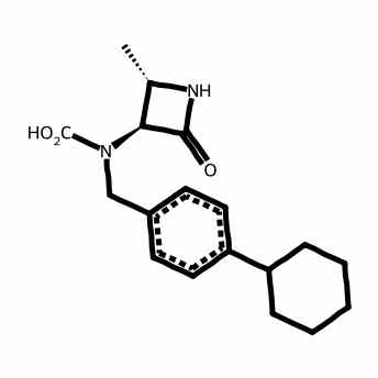 C[C@@H]1NC(=O)[C@H]1N(Cc1ccc(C2CCCCC2)cc1)C(=O)O